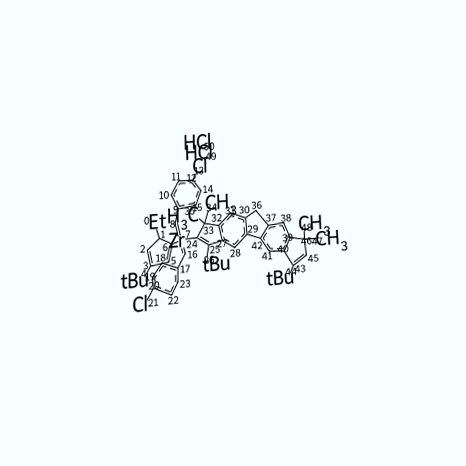 CCC1C=C(C(C)(C)C)C=[C]1[Zr](=[CH]c1ccc(Cl)cc1)(=[CH]c1ccc(Cl)cc1)[C]1=C(C(C)(C)C)c2cc3c(cc2C1(C)C)Cc1cc2c(cc1-3)C(C(C)(C)C)=CC2(C)C.Cl.Cl